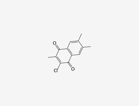 CC1=C(Cl)C(=O)c2cc(C)c(C)cc2C1=O